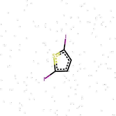 Ic1[c]cc(I)s1